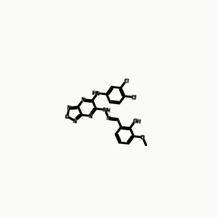 COc1cccc(C=NNc2nc3nonc3nc2Nc2ccc(Cl)c(Cl)c2)c1O